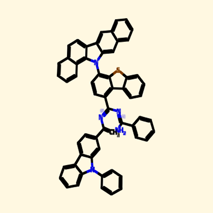 C=C(/N=C(\N=C(/N)c1ccccc1)c1ccc(-n2c3cc4ccccc4cc3c3ccc4ccccc4c32)c2sc3ccccc3c12)c1ccc2c3ccccc3n(-c3ccccc3)c2c1